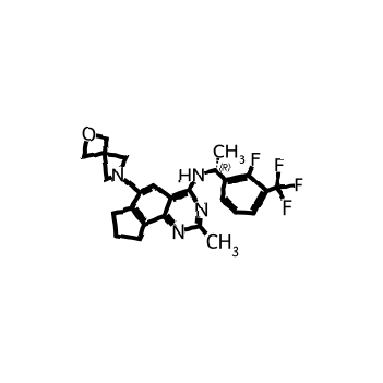 Cc1nc(N[C@H](C)c2cccc(C(F)(F)F)c2F)c2cc(N3CC4(COC4)C3)c3c(c2n1)CCC3